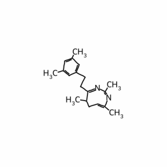 CC1=N/C(C)=C/CC(C)/C(CCc2cc(C)cc(C)c2)=N\1